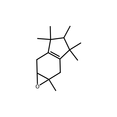 CC1C(C)(C)C2=C(CC3(C)OC3C2)C1(C)C